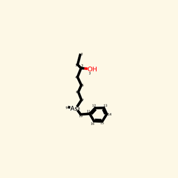 CCC(O)CCCC[As](C)Cc1ccccc1